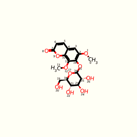 COc1cc2ccc(=O)oc2c(OC)c1OC1O[C@H](CO)[C@@H](O)[C@H](O)[C@H]1O